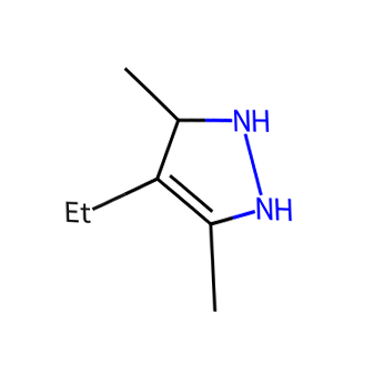 CCC1=C(C)NNC1C